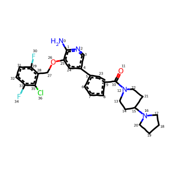 Nc1ncc(-c2cccc(C(=O)N3CCC(N4CCCC4)CC3)c2)cc1OCc1c(F)ccc(F)c1Cl